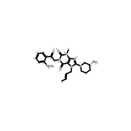 C/C=C/Cn1c(N2CCC[C@@H](N)C2)nc2c1c(=O)n(CC(=O)c1ccccc1NC(C)=O)c(=O)n2C